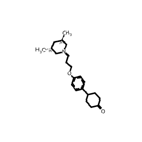 C[C@@H]1C[C@@H](C)CN(CCCOc2ccc(C3CCC(=O)CC3)cc2)C1